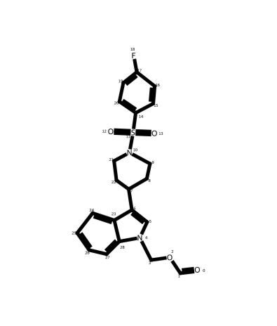 O=COCn1cc(C2CCN(S(=O)(=O)c3ccc(F)cc3)CC2)c2ccccc21